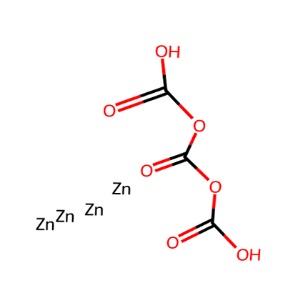 O=C(O)OC(=O)OC(=O)O.[Zn].[Zn].[Zn].[Zn]